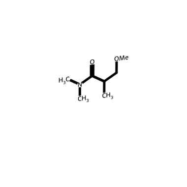 COCC(C)C(=O)N(C)C